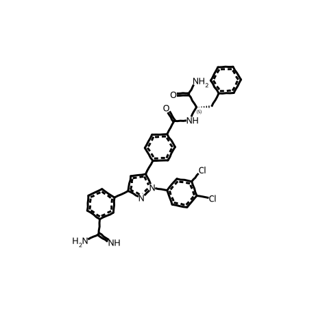 N=C(N)c1cccc(-c2cc(-c3ccc(C(=O)N[C@@H](Cc4ccccc4)C(N)=O)cc3)n(-c3ccc(Cl)c(Cl)c3)n2)c1